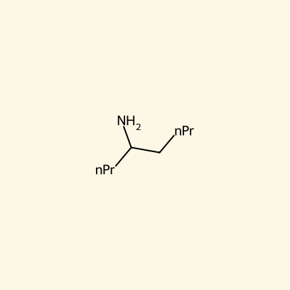 CCCCC(N)CCC